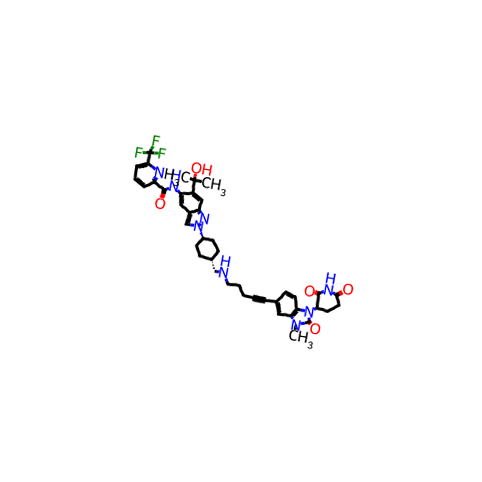 Cn1c(=O)n(C2CCC(=O)NC2=O)c2ccc(C#CCCCNC[C@H]3CC[C@H](n4cc5cc(NC(=O)c6cccc(C(F)(F)F)n6)c(C(C)(C)O)cc5n4)CC3)cc21